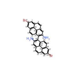 Nc1cc2ccc3cc(Br)cc4ccc(c1-c1c(N)cc5ccc6cc(Br)cc7ccc1c5c67)c2c34